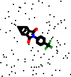 O=C1C2C3CCC(C4CC43)C2C(=O)N1c1ccc(C(F)(F)F)cc1